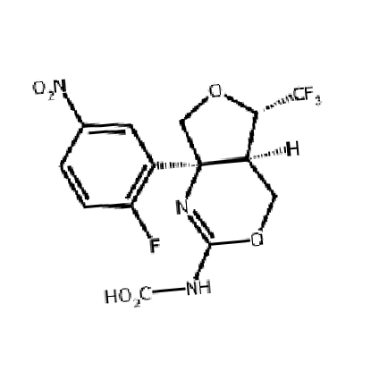 O=C(O)NC1=N[C@@]2(c3cc([N+](=O)[O-])ccc3F)CO[C@H](C(F)(F)F)[C@H]2CO1